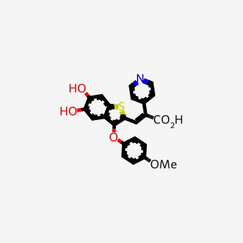 COc1ccc(Oc2c(C=C(C(=O)O)c3ccncc3)sc3cc(O)c(O)cc23)cc1